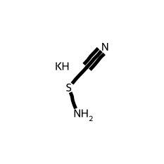 N#CSN.[KH]